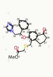 COC(=O)CSCc1c(OC(Cn2ccnc2)c2ccccc2)ccc2c1CCCC2=O